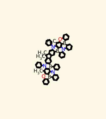 Cc1c2c3c4c5c1N(c1ccccc1)c1cc6c(cc1B5c1ccccc1N4c1ccccc1B3c1ccccc1O2)-c1cc2c(cc1C6(C)C)N(c1ccccc1)c1c(C)c3c4c5c1B2c1ccccc1N5c1ccccc1B4c1ccccc1O3